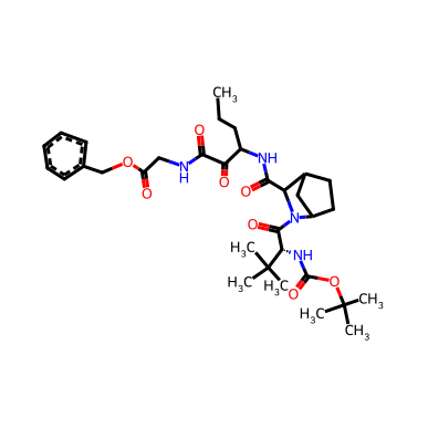 CCCC(NC(=O)C1C2CCC(C2)N1C(=O)[C@H](NC(=O)OC(C)(C)C)C(C)(C)C)C(=O)C(=O)NCC(=O)OCc1ccccc1